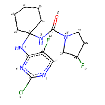 O=C(NC1(Nc2nc(Cl)ncc2F)CCCCC1)N1CCC(F)C1